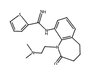 CN(C)CCN1C(=O)CCCc2cccc(NC(=N)c3cccs3)c21